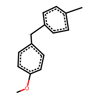 COc1ccc([CH]c2ccc(C)cc2)cc1